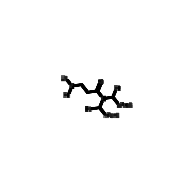 CCCCCC(CC)N(C(=O)CCN(CC)CC)C(CC)CCCCC